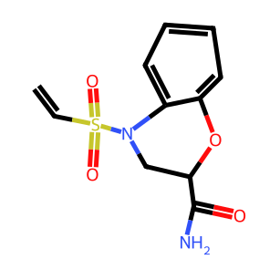 C=CS(=O)(=O)N1CC(C(N)=O)Oc2ccccc21